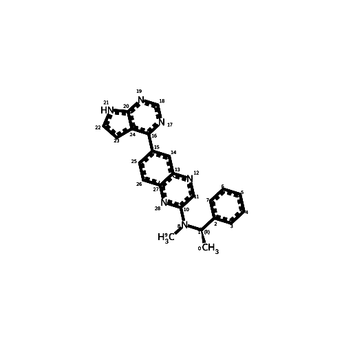 C[C@H](c1ccccc1)N(C)c1cnc2cc(-c3ncnc4[nH]ccc34)ccc2n1